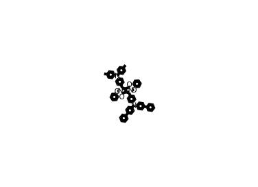 Cc1ccc(N(c2ccc(C)cc2)c2ccc(C3=C4C(=O)N(Oc5ccccc5)C(c5ccc(N(c6ccc(-c7ccccc7)cc6)c6ccc(-c7ccccc7)cc6)cc5)=C4C(=O)N3Oc3ccccc3)cc2)cc1